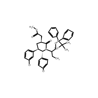 CCC(CO[Si](c1ccccc1)(c1ccccc1)C(C)(C)C)N1C(=O)[C@H](CC(=O)OC)C[C@H](c2cccc(Cl)c2)[C@H]1c1ccc(Cl)cc1